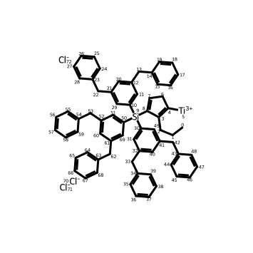 CCCC1=[C]([Ti+3])CC=C1[Si](c1cc(Cc2ccccc2)cc(Cc2ccccc2)c1)(c1cc(Cc2ccccc2)cc(Cc2ccccc2)c1)c1cc(Cc2ccccc2)cc(Cc2ccccc2)c1.[Cl-].[Cl-].[Cl-]